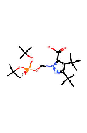 CC(C)(C)OP(=O)(OCn1nc(C(C)(C)C)c(C(C)(C)C)c1C(=O)O)OC(C)(C)C